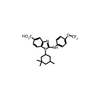 CC1CC(n2c(Nc3ccc(OC(F)(F)F)cc3)nc3cc(C(=O)O)ccc32)CC(C)(C)C1